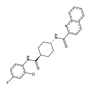 O=C(N[C@H]1CC[C@H](C(=O)Nc2ccc(F)cc2Cl)CC1)c1ccc2ccccc2n1